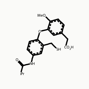 COc1ccc(CC(=O)O)cc1Oc1ccc(NC(=O)C(C)C)cc1CS